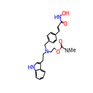 CNC(=O)OCCN(CCc1c[nH]c2ccccc12)Cc1ccc(/C=C/C(=O)NO)cc1